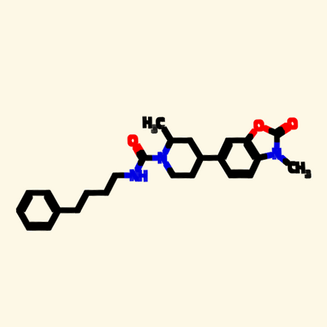 CC1CC(c2ccc3c(c2)oc(=O)n3C)CCN1C(=O)NCCCCc1ccccc1